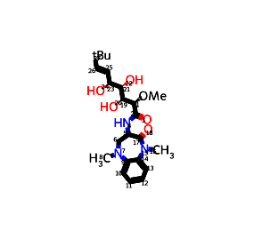 CO[C@@H](C(=O)NC1CN(C)c2ccccc2N(C)C1=O)[C@H](O)[C@@H](O)[C@H](O)/C=C/C(C)(C)C